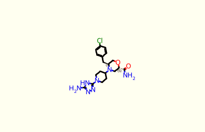 NC(=O)[C@@H]1CN(C2CCN(c3nnc(N)[nH]3)CC2)[C@@H](Cc2ccc(Cl)cc2)CO1